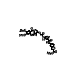 COC(=O)c1cc2cc(NC(=O)c3cc(NC(=O)COC4CCN5C(=O)c6cc(OC)c(OC)cc6N=C[C@@H]5C4)cn3C)ccc2s1